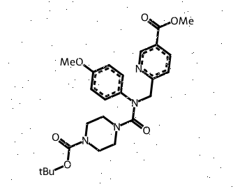 COC(=O)c1ccc(CN(C(=O)N2CCN(C(=O)OC(C)(C)C)CC2)c2ccc(OC)cc2)nc1